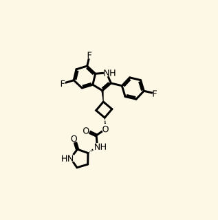 O=C(N[C@@H]1CCNC1=O)O[C@H]1C[C@H](c2c(-c3ccc(F)cc3)[nH]c3c(F)cc(F)cc32)C1